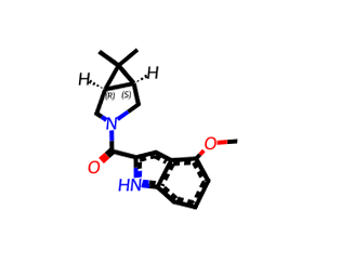 COc1cccc2[nH]c(C(=O)N3C[C@@H]4[C@H](C3)C4(C)C)cc12